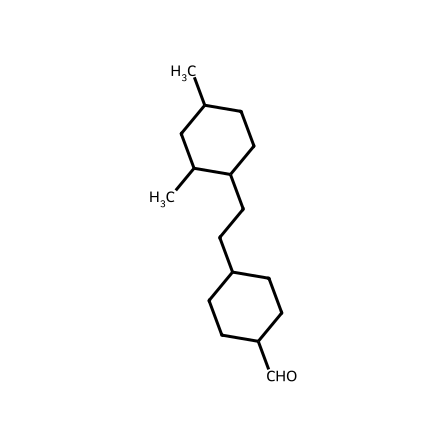 CC1CCC(CCC2CCC(C=O)CC2)C(C)C1